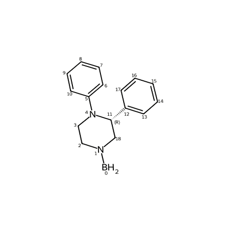 BN1CCN(c2ccccc2)[C@H](c2ccccc2)C1